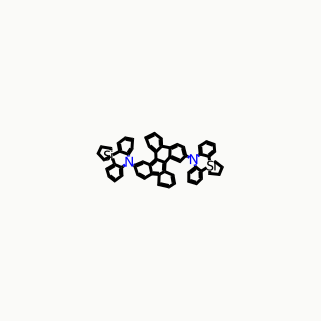 c1ccc2c(c1)N(c1ccc3c4ccccc4c4c5cc(N6c7ccccc7[Si]7(CCCC7)c7ccccc76)ccc5c5ccccc5c4c3c1)c1ccccc1[Si]21CCCC1